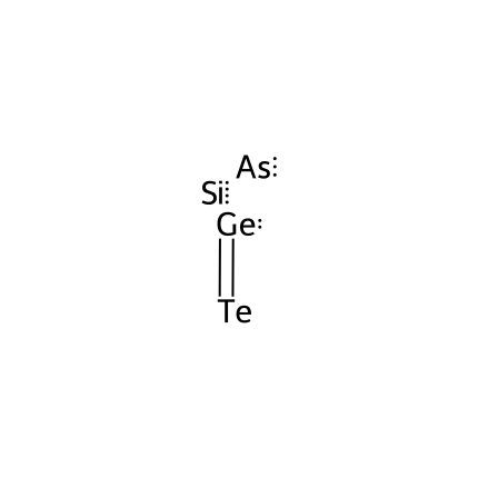 [As].[Ge]=[Te].[Si]